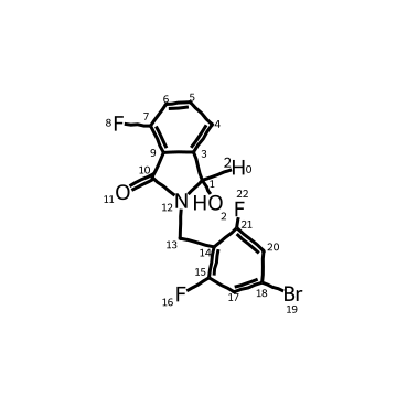 [2H]C1(O)c2cccc(F)c2C(=O)N1Cc1c(F)cc(Br)cc1F